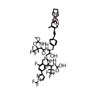 COC(=O)N[C@H](C(=O)N[C@@H](Cc1ccc(C#Cc2cnc(N3CC4CCC(C3)N4C3COC3)cc2C)cc1)[C@@H](O)CN(Cc1c(F)cc(-c2ccn(C(F)F)n2)cc1F)NC(=O)[C@@H](NC(=O)O)C(C)(C)C(F)(F)F)C(C)(C)C(F)(F)F